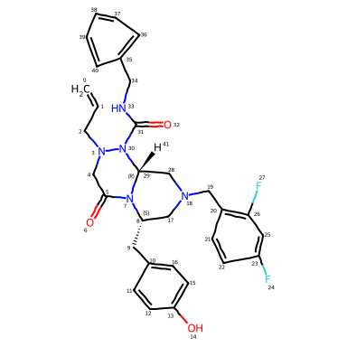 C=CCN1CC(=O)N2[C@@H](Cc3ccc(O)cc3)CN(Cc3ccc(F)cc3F)C[C@H]2N1C(=O)NCc1ccccc1